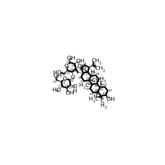 C=C(C)[C@@H]1CC[C@]2(C[C@@]3(O)[C@H](O[C@H]4O[C@H](CO)[C@@H](O)[C@H](O)[C@H]4O)[C@@H](CO)O[C@@H](O)[C@@H]3O)CC[C@]3(C)[C@H](CCC4[C@@]5(C)CCC(O)C(C)(C)[C@@H]5CC[C@]43C)[C@@H]12